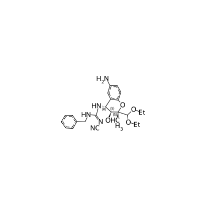 CCOC(OCC)[C@@]1(C)Oc2ccc(N)cc2[C@@H](NC(=NC#N)NCc2ccccc2)[C@@H]1O